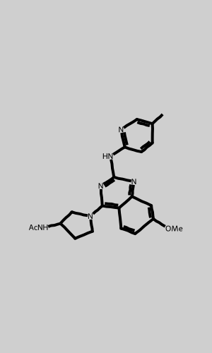 COc1ccc2c(N3CCC(NC(C)=O)C3)nc(Nc3ccc(C)cn3)nc2c1